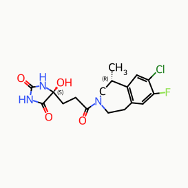 C[C@H]1CN(C(=O)CC[C@@]2(O)NC(=O)NC2=O)CCc2cc(F)c(Cl)cc21